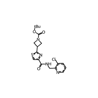 CC(C)(C)OC(=O)N1CC(c2nc(C(=O)NCc3ncccc3Cl)cs2)C1